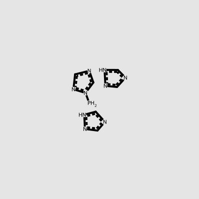 Pn1cncn1.c1nc[nH]n1.c1nc[nH]n1